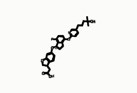 CC(C)(O)CCCc1ccc(Oc2ccc(F)c3c2CC[C@H]3Oc2ccc3c(c2)OCC3CC(=O)O)nc1